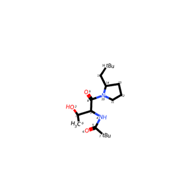 CC(O)C(NC(=O)C(C)(C)C)C(=O)N1CCCC1CC(C)(C)C